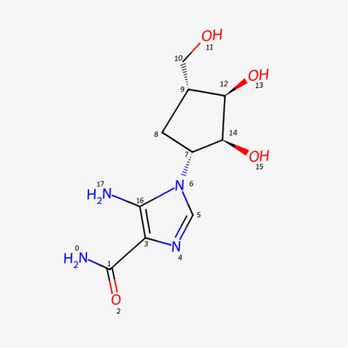 NC(=O)c1ncn([C@@H]2C[C@H](CO)[C@@H](O)[C@H]2O)c1N